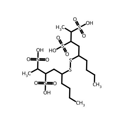 CCCCC(CC(C(C)S(=O)(=O)O)S(=O)(=O)O)SSC(CCCC)CC(C(C)S(=O)(=O)O)S(=O)(=O)O